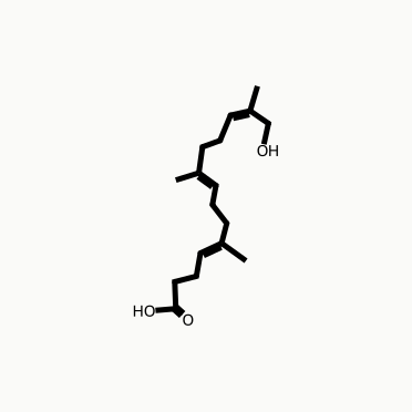 CC(=CCCC(C)=CCCC(C)=CCCC(=O)O)CO